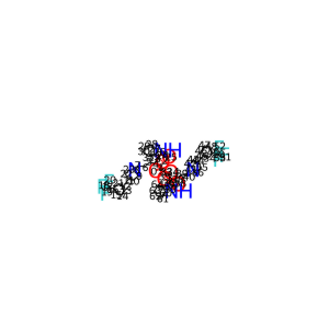 O=C(OC1(CCCCN2CC=C(c3cccc(C(F)(F)F)c3)CC2)C(=O)Nc2ccccc21)C(=O)OC1(CCCCN2CC=C(c3cccc(C(F)(F)F)c3)CC2)C(=O)Nc2ccccc21